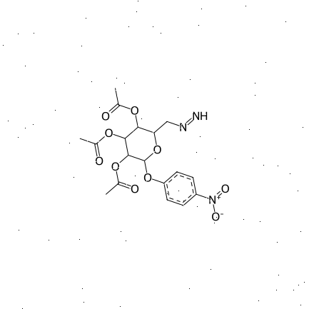 CC(=O)OC1C(CN=N)OC(Oc2ccc([N+](=O)[O-])cc2)C(OC(C)=O)C1OC(C)=O